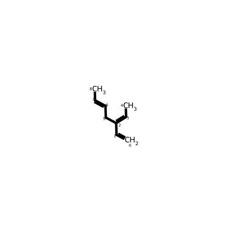 C=CC(=CC)CC=CC